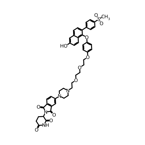 CS(=O)(=O)c1ccc(-c2ccc3cc(O)ccc3c2Oc2ccc(OCCOCCOCCN3CCN(c4ccc5c(c4)C(=O)N(C4CCC(=O)NC4=O)C5=O)CC3)cc2)cc1